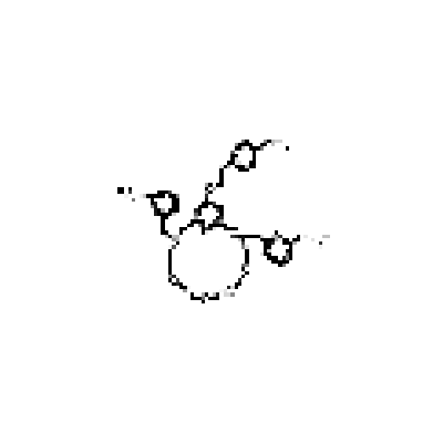 Nc1ccc(CCOc2cc3nc(c2)CN(Cc2cccc(C(=O)O)n2)CCOCCOCCOCCN(Cc2cccc(C(=O)O)n2)C3)cc1